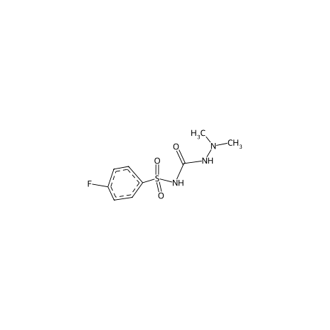 CN(C)NC(=O)NS(=O)(=O)c1ccc(F)cc1